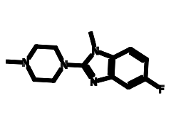 CN1CCN(c2nc3cc(F)ccc3n2C)CC1